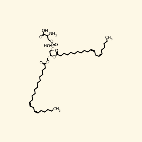 CCCCC/C=C\C/C=C\CCCCCCCCCCCC(=O)OC[C@H](COP(=O)(O)OC[C@H](N)C(=O)O)OC(=O)CCCCCCCCC/C=C\C/C=C\CCCCC